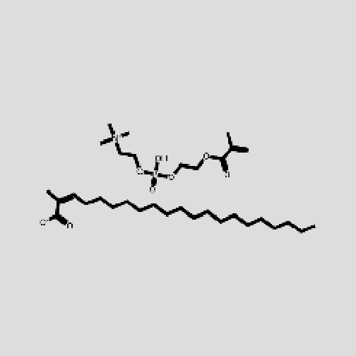 C=C(C)C(=O)OCCOP(=O)(O)OCC[N+](C)(C)C.CCCCCCCCCCCCCCCCCCC=C(C)C(=O)[O-]